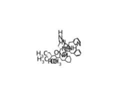 CC[C@@H](C[C@H](O)[C@H](CC1CCCCC1)NC(=O)[C@H](Cc1c[nH]cn1)NC(=O)[C@H](Cc1ccccc1)NC(=O)Cc1cccnc1)C(C)C